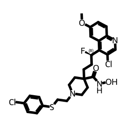 COc1ccc2ncc(Cl)c([C@H](F)CCC3(C(=O)NO)CCN(CCSc4ccc(Cl)cc4)CC3)c2c1